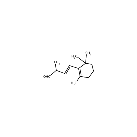 CC1=C(/C=C/C(C)C=O)C(C)(C)CCC1